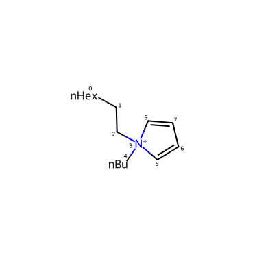 CCCCCCCC[N+]1(CCCC)C=CC=C1